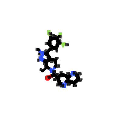 C[C@H]1c2nn(C)c(-c3cc(F)c(F)c(F)c3)c2CCN1C(=O)c1cnc2cccnc2c1